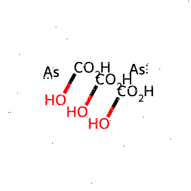 O=C(O)O.O=C(O)O.O=C(O)O.[As].[As]